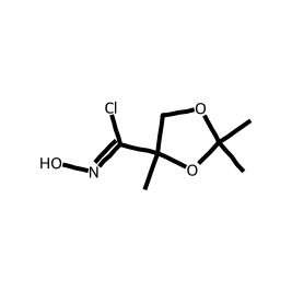 CC1(C)OCC(C)(/C(Cl)=N/O)O1